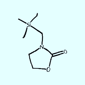 C[Si](C)(C)CN1CCOC1=O